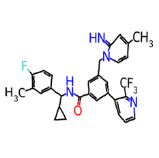 Cc1ccn(Cc2cc(C(=O)NC(c3ccc(F)c(C)c3)C3CC3)cc(-c3cccnc3C(F)(F)F)c2)c(=N)c1